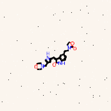 O=C1Nc2ccc(CCN3CCOC3=O)cc2C1=Cc1cc(CN2CCOCC2)c[nH]1